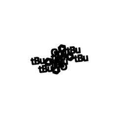 CC(C)(C)c1cc(C(C)(C)C)c(-n2c3ccccc3c(=O)c3cc4c(cc32)c(=O)c2ccccc2n4-c2c(C(C)(C)C)cc(C(C)(C)C)cc2C(C)(C)C)c(C(C)(C)C)c1